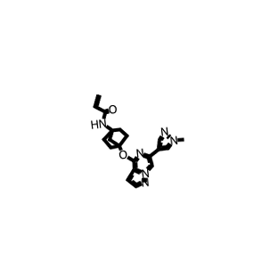 C=CC(=O)NC12CCC(Oc3nc(-c4cnn(C)c4)cn4nccc34)(CC1)C2